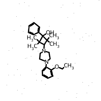 CCOc1ccccc1N1CCN(C2C(C)(C)C(O)(c3ccccc3)C2(C)C)CC1